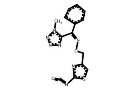 Cn1nnnc1C(=NOCc1csc(N=C=O)n1)c1ccccc1